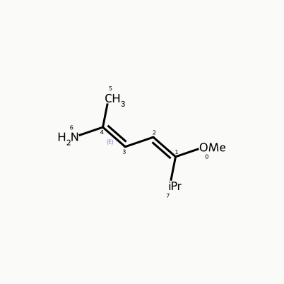 COC(=C/C=C(\C)N)C(C)C